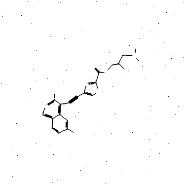 CCN(CC)CC(O)CNC(=O)c1nc(C#Cc2c(N)ncc3ccc(Cl)cc23)co1